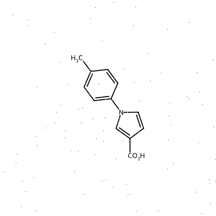 Cc1ccc(-n2ccc(C(=O)O)c2)cc1